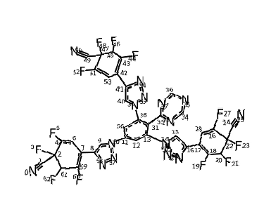 N#CC1(F)C(F)=CC(c2cn(-c3cc(-n4cc(C5=C(F)C(F)C(F)(C#N)C(F)=C5)nn4)c(-c4ncncn4)c(-n4cc(C5=C(F)C(F)C(F)(C#N)C(F)=C5)nn4)c3)nn2)=C(F)C1F